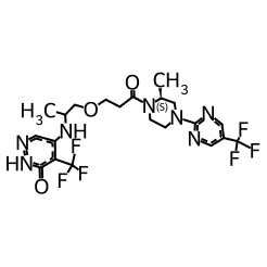 CC(COCCC(=O)N1CCN(c2ncc(C(F)(F)F)cn2)C[C@@H]1C)Nc1cn[nH]c(=O)c1C(F)(F)F